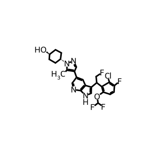 Cc1c(-c2cnc3[nH]cc(C(CF)c4c(OC(F)F)ccc(F)c4Cl)c3c2)cnn1[C@H]1CC[C@H](O)CC1